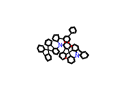 c1ccc(-c2cccc(-c3ccccc3N(c3cccc4c3-c3ccccc3C43c4ccccc4-c4ccccc43)c3cccc4c3-c3ccccc3C43c4ccccc4-n4c5ccccc5c5cccc3c54)c2)cc1